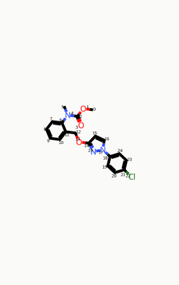 COC(=O)N(C)c1ccccc1COc1ccn(-c2ccc(Cl)cc2)n1